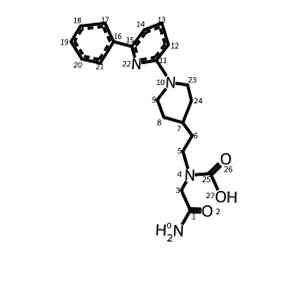 NC(=O)CN(CCC1CCN(c2cccc(-c3ccccc3)n2)CC1)C(=O)O